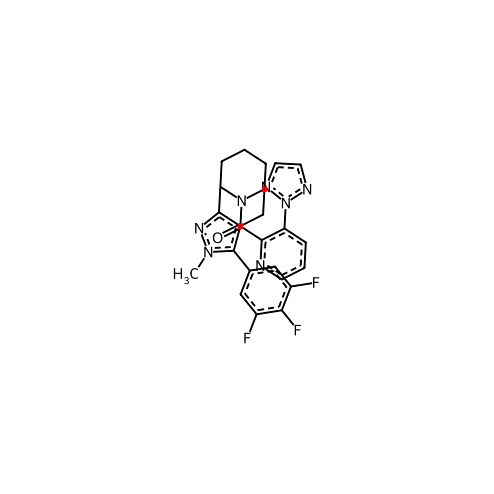 Cn1nc2c(c1-c1cc(F)c(F)c(F)c1)CC1CCCC2N1C(=O)c1ncccc1-n1nccn1